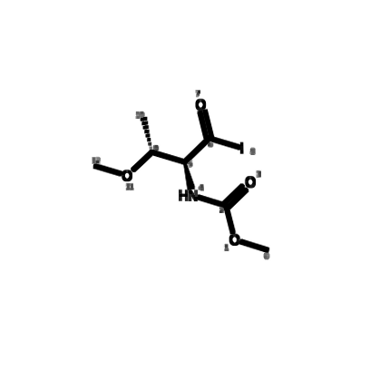 COC(=O)N[C@H](C(=O)I)[C@@H](C)OC